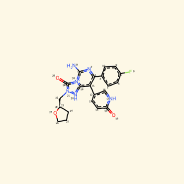 Nc1nc(-c2ccc(F)cc2)c(-c2ccc(=O)[nH]c2)c2[nH]n(C[C@H]3CCCO3)c(=O)[n+]12